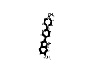 Cc1ccc2cc(-c3ccc(N4CCN(C)CC4)nc3)[nH]c2c1